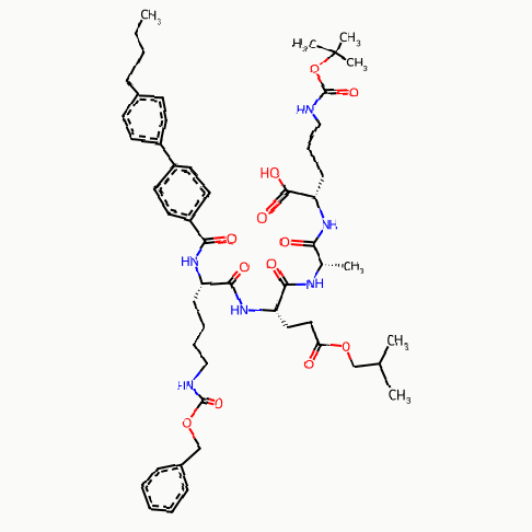 CCCCc1ccc(-c2ccc(C(=O)N[C@@H](CCCCNC(=O)OCc3ccccc3)C(=O)N[C@@H](CCC(=O)OCC(C)C)C(=O)N[C@@H](C)C(=O)N[C@@H](CCCNC(=O)OC(C)(C)C)C(=O)O)cc2)cc1